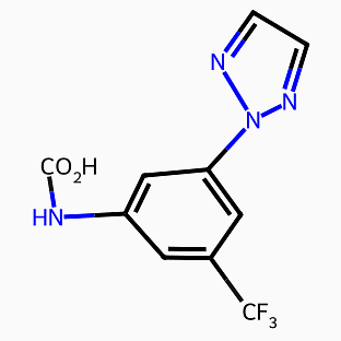 O=C(O)Nc1cc(-n2nccn2)cc(C(F)(F)F)c1